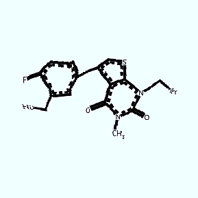 CC(C)Cn1c(=O)n(C)c(=O)c2c(-c3ccc(F)c(CO)c3)csc21